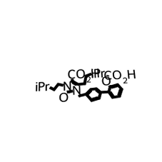 CC(C)CCc1c(C(=O)O)n(CCC(C)C)c(=O)n1Cc1ccc(-c2ccccc2OC(=O)O)cc1